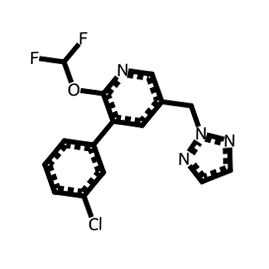 FC(F)Oc1ncc(Cn2nccn2)cc1-c1cccc(Cl)c1